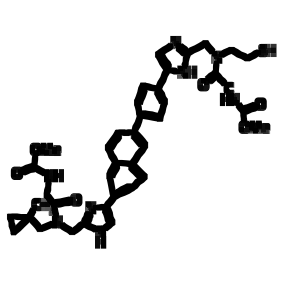 COC(=O)NCC(=O)N(CCS)Cc1ncc(-c2ccc(-c3ccc4cc(-c5c[nH]c(CN(CC6(C)CC6)C(=O)CNC(=O)OC)n5)ccc4c3)cc2)[nH]1